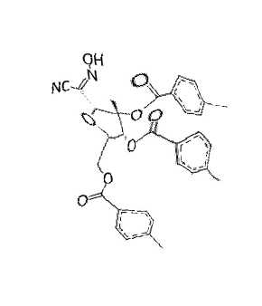 Cc1ccc(C(=O)OCC2O[C@H](/C(C#N)=N/O)[C@](C)(OC(=O)c3ccc(C)cc3)[C@@H]2OC(=O)c2ccc(C)cc2)cc1